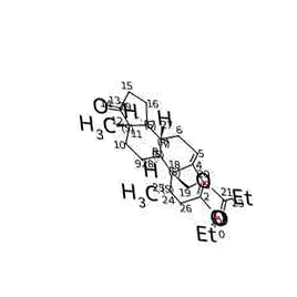 CCOC1=CC2=CC[C@@H]3[C@H](CC[C@]4(C)C(=O)CC[C@@H]34)[C@@]2(COC(=O)CC)[C@@H](C)C1